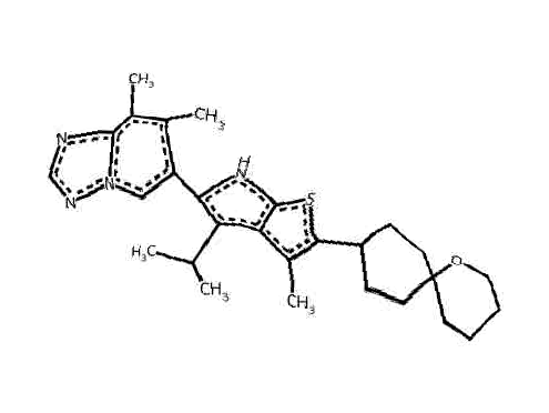 Cc1c(-c2[nH]c3sc(C4CCC5(CCCCO5)CC4)c(C)c3c2C(C)C)cn2ncnc2c1C